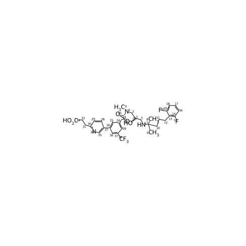 CN(C[C@H](O)CNC(C)(C)CCCc1c(F)cccc1F)S(=O)(=O)c1cc(-c2ccc(CCC(=O)O)nc2)cc(C(F)(F)F)c1